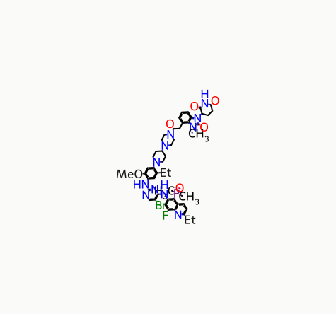 CCc1ccc2c(P(C)(C)=O)c(Nc3nc(Nc4cc(CC)c(N5CCC(N6CCN(C(=O)Cc7cccc8c7n(C)c(=O)n8C7CCC(=O)NC7=O)CC6)CC5)cc4OC)ncc3Br)cc(F)c2n1